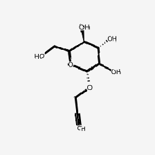 C#CCO[C@@H]1OC(CO)[C@@H](O)[C@H](O)C1O